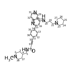 CN1CCC(CNC(=O)C#Cc2ccc(-c3cc(NCCCN4CCCCC4)c4cnccc4n3)cc2)CC1